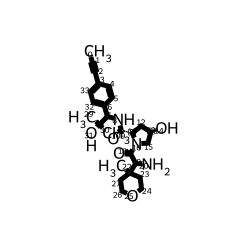 CC#Cc1ccc(C(NC(=O)[C@@H]2C[C@@H](O)CN2C(=O)C(N)C2(C)CCOCC2)C(C)(C)O)cc1